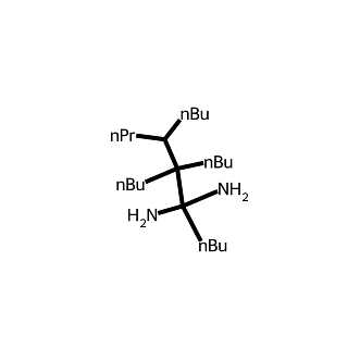 CCCCC(CCC)C(CCCC)(CCCC)C(N)(N)CCCC